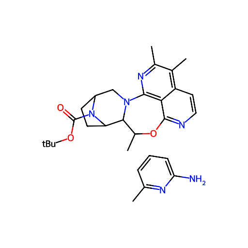 Cc1cccc(N)n1.Cc1nc2c3c(nccc3c1C)OC(C)C1C3CCC(CN21)N3C(=O)OC(C)(C)C